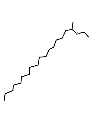 CCCCCCCCCCCCCCCCC(C)OCC